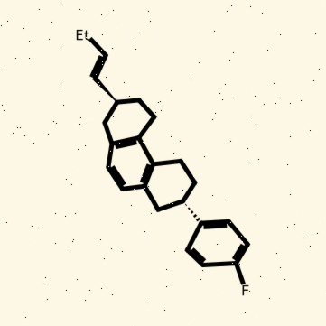 CC/C=C/[C@H]1CCc2c(ccc3c2CC[C@H](c2ccc(F)cc2)C3)C1